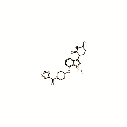 Cn1nc(C2CCC(=O)NC2=O)c2cccc(OC3CCN(C(=O)c4cscn4)CC3)c21